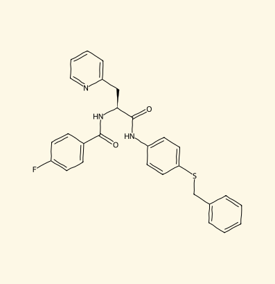 O=C(N[C@@H](Cc1ccccn1)C(=O)Nc1ccc(SCc2ccccc2)cc1)c1ccc(F)cc1